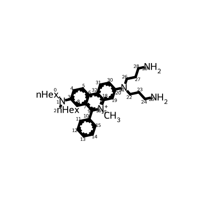 CCCCCCN(CCCCCC)c1ccc2c(c1)c(-c1ccccc1)[n+](C)c1cc(N(CCCN)CCCN)ccc21